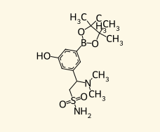 CN(C)C(CS(N)(=O)=O)c1cc(O)cc(B2OC(C)(C)C(C)(C)O2)c1